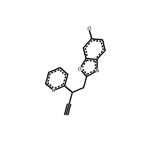 C#CC(Cc1nc2ccc(Cl)cc2o1)c1ccccn1